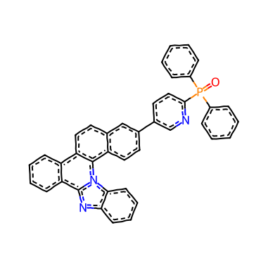 O=P(c1ccccc1)(c1ccccc1)c1ccc(-c2ccc3c(ccc4c5ccccc5c5nc6ccccc6n5c34)c2)cn1